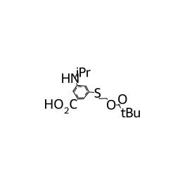 CC(C)Nc1cc(SCCOC(=O)C(C)(C)C)cc(C(=O)O)c1